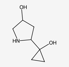 OC1CNC(C2(O)CC2)C1